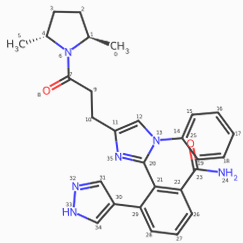 C[C@@H]1CC[C@@H](C)N1C(=O)CCc1cn(-c2ccccc2)c(-c2c(C(N)=O)cccc2-c2cn[nH]c2)n1